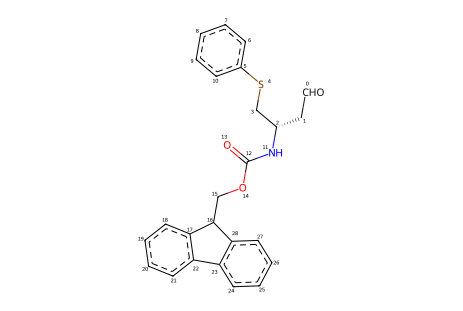 O=CC[C@@H](CSc1ccccc1)NC(=O)OCC1c2ccccc2-c2ccccc21